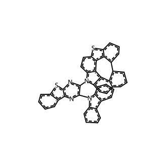 c1cc2c3c(c1)ccc1c3c3c4c(ccc3n1-c1nc3sc5ccccc5c3nc1-n1c3ccccc3c3ccccc31)sc1cccc-2c14